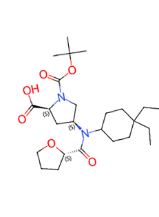 CCC1(CC)CCC(N(C(=O)[C@@H]2CCCO2)[C@H]2C[C@@H](C(=O)O)N(C(=O)OC(C)(C)C)C2)CC1